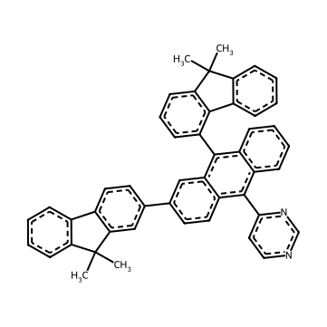 CC1(C)c2ccccc2-c2ccc(-c3ccc4c(-c5ccncn5)c5ccccc5c(-c5cccc6c5-c5ccccc5C6(C)C)c4c3)cc21